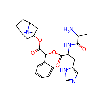 CC(N)C(=O)NC(Cc1cnc[nH]1)C(=O)OC(C(=O)OC1CC2CCC(C1)N2C)c1ccccc1